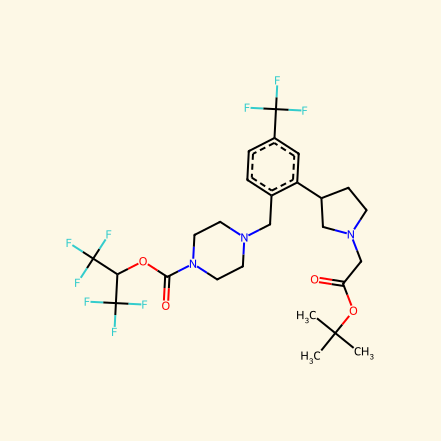 CC(C)(C)OC(=O)CN1CCC(c2cc(C(F)(F)F)ccc2CN2CCN(C(=O)OC(C(F)(F)F)C(F)(F)F)CC2)C1